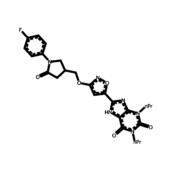 CCCn1c(=O)c2[nH]c(-c3cc(OCC4CC(=O)N(c5ccc(F)cc5)C4)no3)nc2n(CCC)c1=O